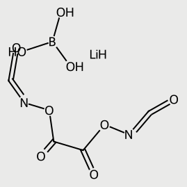 O=C=NOC(=O)C(=O)ON=C=O.OB(O)O.[LiH]